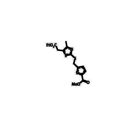 CCOC(=O)Cc1sc(SCc2ccc(C(=O)OC)s2)nc1C